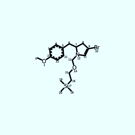 COc1ccc(CC2CC(Br)=CN2COCC[Si](C)(C)C)cc1